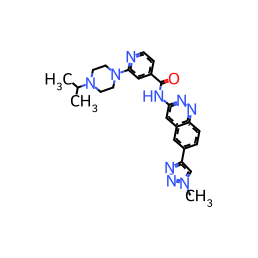 CC(C)N1CCN(c2cc(C(=O)Nc3cc4cc(-c5cn(C)nn5)ccc4nn3)ccn2)CC1